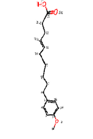 COc1ccc(CCCCCC=CCCC(=O)O)cc1